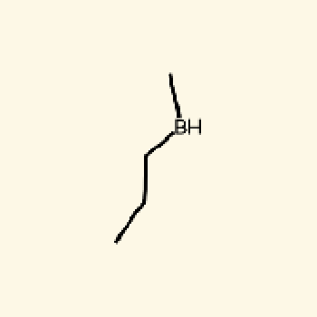 CBCCC